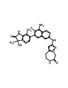 Cc1c(-c2cc3cc(Nc4cc5n(n4)CC(=O)NCC5)ncc3c(N)c2F)cnc2c1NC(=O)C2(C)O